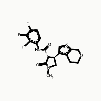 CN1C[C@H](c2csc3c2CCOC3)[C@@H](C(=O)Nc2ccc(F)c(F)c2F)C1=O